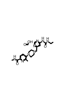 CCNC(=O)Nc1cc(CN2CCN(c3ccc(C(=O)NC)nc3C)CC2)ncn1.O=CO